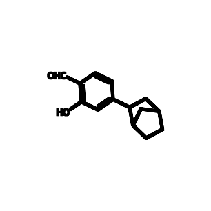 O=Cc1ccc(C2CC3CCC2C3)cc1O